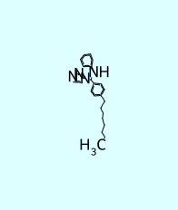 CCCCCCCCc1ccc(C(Nc2ccccc2)n2ccnn2)cc1